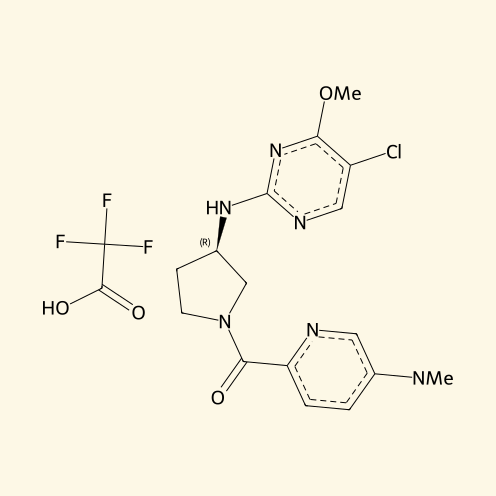 CNc1ccc(C(=O)N2CC[C@@H](Nc3ncc(Cl)c(OC)n3)C2)nc1.O=C(O)C(F)(F)F